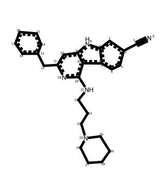 N#Cc1ccc2c(c1)[nH]c1cc(Cc3ccccc3)nc(NCCCN3CCCCC3)c12